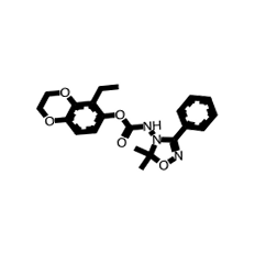 CCc1c(OC(=O)NN2C(c3ccccc3)=NOC2(C)C)ccc2c1OCCO2